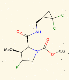 CO[C@@H]1C(F)CN(C(=O)OC(C)(C)C)[C@@H]1C(=O)NC[C@H]1CC1(Cl)Cl